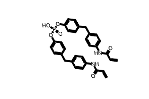 C=CC(=O)Nc1ccc(Cc2ccc(OP(=O)(O)Oc3ccc(Cc4ccc(NC(=O)C=C)cc4)cc3)cc2)cc1